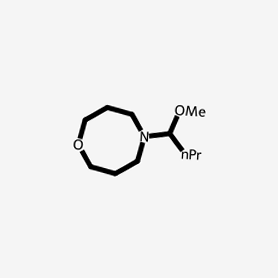 CCCC(OC)N1CCCOCCC1